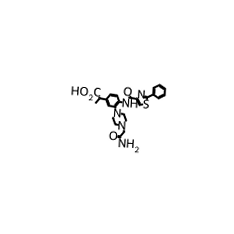 CC(C(=O)O)c1ccc(NC(=O)c2csc(-c3ccccc3)n2)c(N2CCN(CC(N)=O)CC2)c1